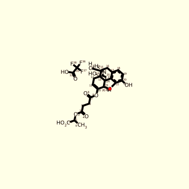 CC(OC(=O)CCC(=O)OC1=CC[C@@]2(O)[C@H]3Cc4ccc(O)c5c4[C@@]2(CCN3C)[C@H]1O5)C(=O)O.O=C(O)C(F)(F)F